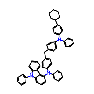 c1ccc(N(c2ccc(Cc3ccc(N(c4ccccc4)c4cccc5c4c4ccccc4n5-c4ccccc4)cc3)cc2)c2ccc(C3CCCCC3)cc2)cc1